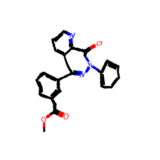 COC(=O)c1cccc(-c2nn(-c3ccccc3)c(=O)c3ncccc23)c1